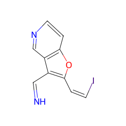 N=Cc1c(/C=C\I)oc2ccncc12